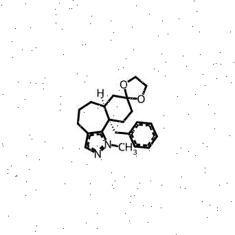 Cn1ncc2c1[C@]1(Cc3ccccc3)CCC3(C[C@@H]1CCC2)OCCO3